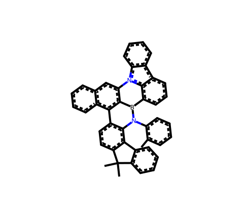 Cc1ccccc1N1B2c3c(cc4ccccc4c3-c3ccc4c(c31)-c1ccccc1C4(C)C)-n1c3ccccc3c3cccc2c31